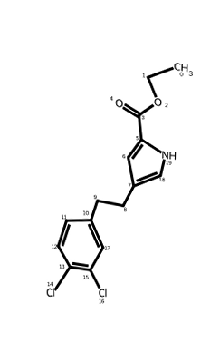 CCOC(=O)c1cc(CCc2ccc(Cl)c(Cl)c2)c[nH]1